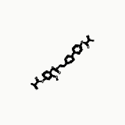 C=C(C)C(=O)Oc1ccc(-c2ccc(/C=C/C(=O)Oc3ccc(OC(=O)C(=C)C)cc3OC)cc2)cc1